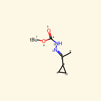 CC(=NNC(=O)OC(C)(C)C)C1CC1